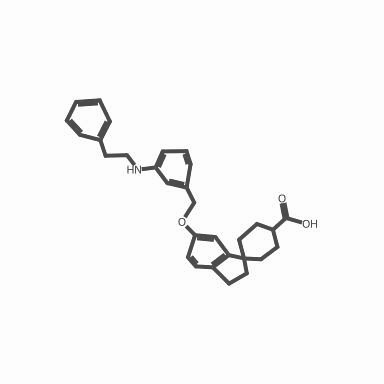 O=C(O)C1CCC2(CCc3ccc(OCc4cccc(NCCc5ccccc5)c4)cc32)CC1